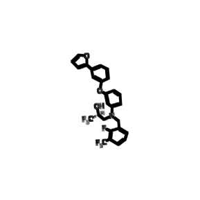 O[C@H](CN(Cc1cccc(C(F)(F)F)c1F)c1cccc(Oc2cccc(-c3ccco3)c2)c1)C(F)(F)F